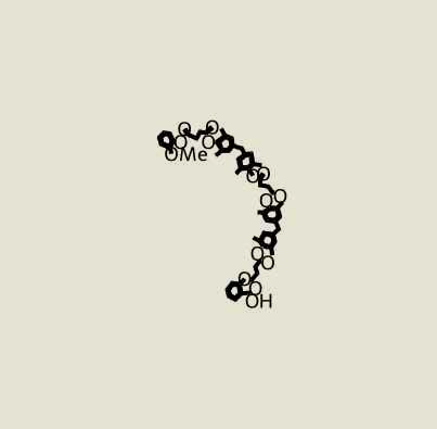 COc1ccccc1OC(=O)CCC(=O)Oc1c(C)cc(Cc2cc(C)c(OC(=O)CCC(=O)Oc3c(C)cc(Cc4cc(C)c(OC(=O)CCC(=O)Oc5ccccc5CO)c(C)c4)cc3C)c(C)c2)cc1C